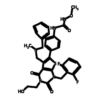 CONC(=O)Nc1ccc(-c2sc3c(c2CN(C)Cc2ccccc2)c(=O)n(CCO)c(=O)n3Cc2c(F)cccc2F)cc1